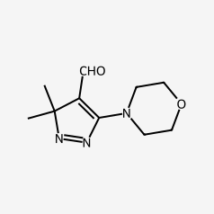 CC1(C)N=NC(N2CCOCC2)=C1C=O